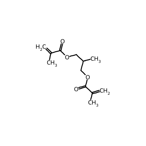 C=C(C)C(=O)OC[C](C)COC(=O)C(=C)C